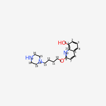 Oc1cccc2ccc(OCCCCN3CCNCC3)nc12